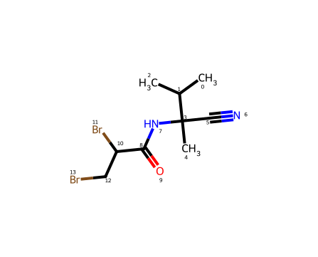 CC(C)C(C)(C#N)NC(=O)C(Br)CBr